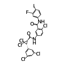 O=C(Nc1ccc(I)c(F)c1)c1cc(NC(=O)[C@H]2[C@H](c3cc(Cl)cc(Cl)c3)C2(Cl)Cl)ccc1Cl